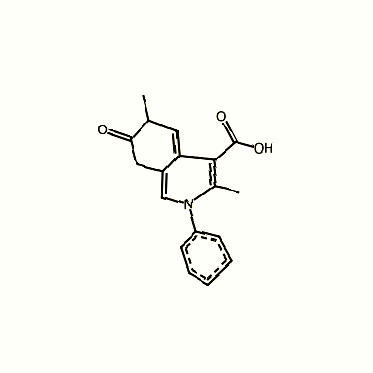 CC1=C(C(=O)O)C2=CC(C)C(=O)CC2=CN1c1ccccc1